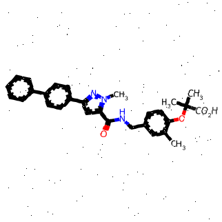 Cc1cc(CNC(=O)c2cc(-c3ccc(-c4ccccc4)cc3)nn2C)ccc1OC(C)(C)C(=O)O